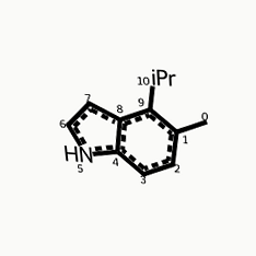 Cc1ccc2[nH]ccc2c1C(C)C